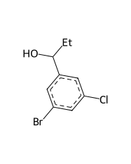 CCC(O)c1cc(Cl)cc(Br)c1